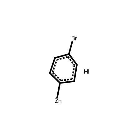 I.[Zn][c]1ccc(Br)cc1